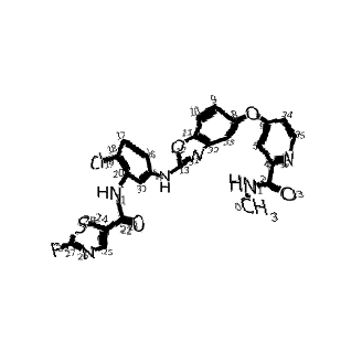 CNC(=O)c1cc(Oc2ccc3oc(Nc4ccc(Cl)c(NC(=O)c5cnc(F)s5)c4)nc3c2)ccn1